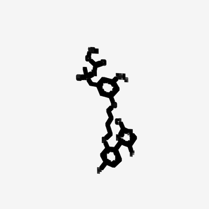 CC(C)(C)OC(=O)N=S(C)(=O)Cc1cc(N)cc(OCCCCSc2cc(F)ccc2-c2nc(Cl)ncc2F)c1